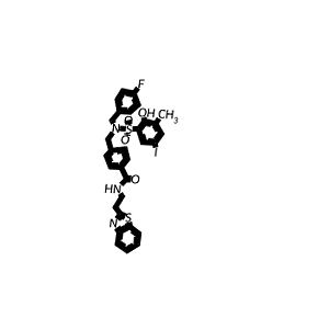 Cc1cc(I)cc(S(=O)(=O)N(Cc2ccc(F)cc2)Cc2ccc(C(=O)NCCc3nc4ccccc4s3)cc2)c1O